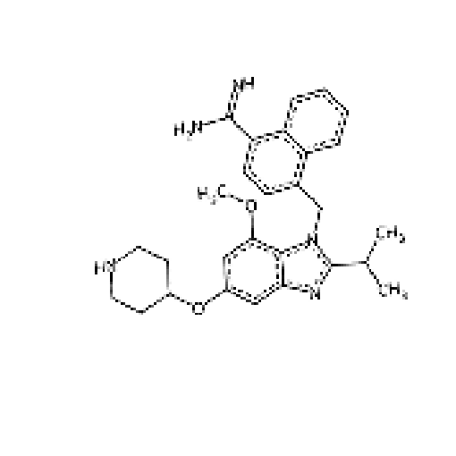 COc1cc(OC2CCNCC2)cc2nc(C(C)C)n(Cc3ccc(C(=N)N)c4ccccc34)c12